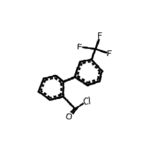 O=C(Cl)c1ccccc1-c1cccc(C(F)(F)F)c1